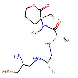 CC[C@H](C)[C@H](NC[C@@H](NC[C@@H](N)CS)[C@@H](C)CC)C(=O)N(C)[C@@]1(C)CCCOC1=O